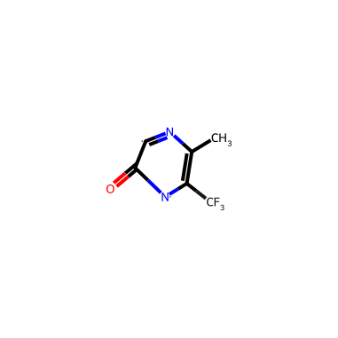 CC1=C(C(F)(F)F)[N]C(=O)[C]=N1